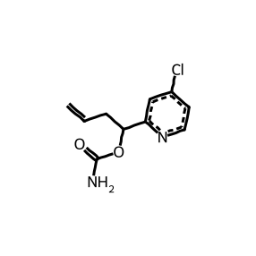 C=CCC(OC(N)=O)c1cc(Cl)ccn1